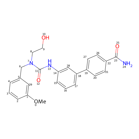 COc1cccc(CN(CCO)C(=O)Nc2cccc(-c3ccc(C(N)=O)cc3)c2)c1